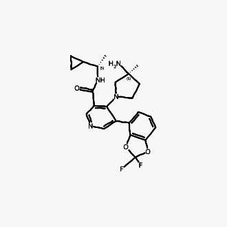 C[C@H](NC(=O)c1cncc(-c2cccc3c2OC(F)(F)O3)c1N1CC[C@](C)(N)C1)C1CC1